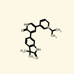 CC(C)N1C=C(c2c[nH]c(=O)c(-c3ccc4c(c3)NC(=O)C4(C)C)c2)C=CC1